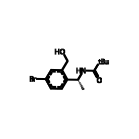 C[C@@H](NC(=O)C(C)(C)C)c1ccc(Br)cc1CO